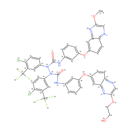 COc1cnc2ccc(Oc3cccc(NC(=O)N(c4ccc(Cl)c(C(F)(F)F)c4)N(C(=O)Nc4cccc(Oc5ccc6ncc(OCCO)nc6c5)c4)c4ccc(Cl)c(C(F)(F)F)c4)c3)cc2n1